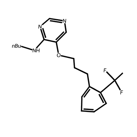 CCCCNc1ncncc1OCCCc1ccccc1C(C)(F)F